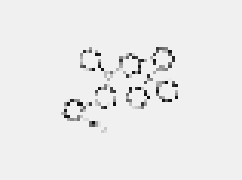 Bc1ccccc1-c1cccc(N(c2ccccc2)c2ccc3c(c2)C(c2ccccc2)(c2ccccc2)c2ccccc2-3)c1